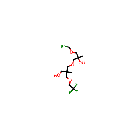 CC(O)(COCBr)COCC(C)(CO)COCC(F)(F)F